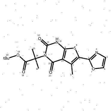 Cc1c(-c2ncco2)sc2[nH]c(=O)n(C(C)(C)C(=O)OC(C)(C)C)c(=O)c12